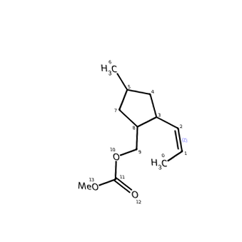 C/C=C\C1CC(C)CC1COC(=O)OC